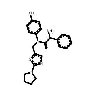 Cc1ccc(N(Cc2cnc(N3CCCC3)s2)C(=O)[C@@H](N)c2ccccc2)cc1